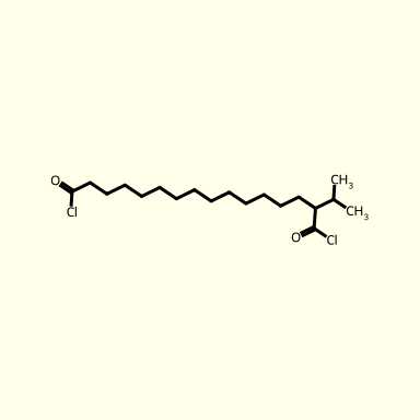 CC(C)C(CCCCCCCCCCCCCC(=O)Cl)C(=O)Cl